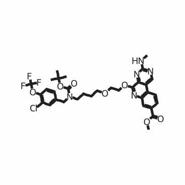 CNc1ncc2c(n1)c(OCCOCCCCN(Cc1ccc(OC(F)(F)F)c(Cl)c1)C(=O)OC(C)(C)C)nc1cc(C(=O)OC)ccc12